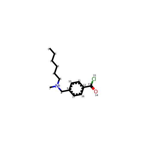 CCCCCCN(C)Cc1ccc(C(=O)Cl)cc1